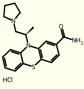 C[C@H](CN1CCCC1)N1c2ccccc2Sc2ccc(C(N)=O)cc21.Cl